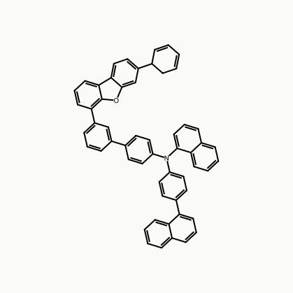 C1=CCC(c2ccc3c(c2)oc2c(-c4cccc(-c5ccc(N(c6ccc(-c7cccc8ccccc78)cc6)c6cccc7ccccc67)cc5)c4)cccc23)C=C1